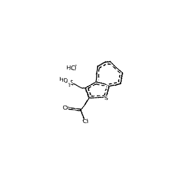 Cl.O=C(Cl)c1sc2ccccc2c1S(=O)(=O)O